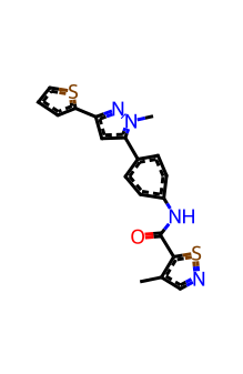 Cc1cnsc1C(=O)Nc1ccc(-c2cc(-c3cccs3)nn2C)cc1